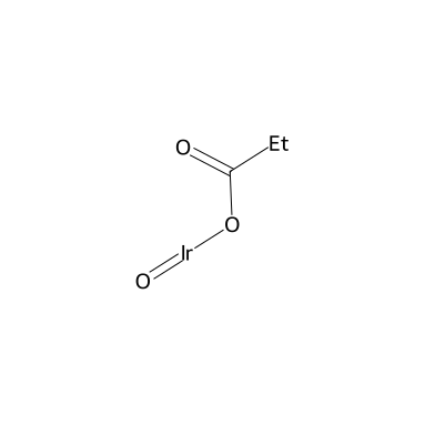 CCC(=O)[O][Ir]=[O]